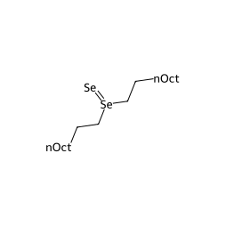 CCCCCCCCCC[Se](=[Se])CCCCCCCCCC